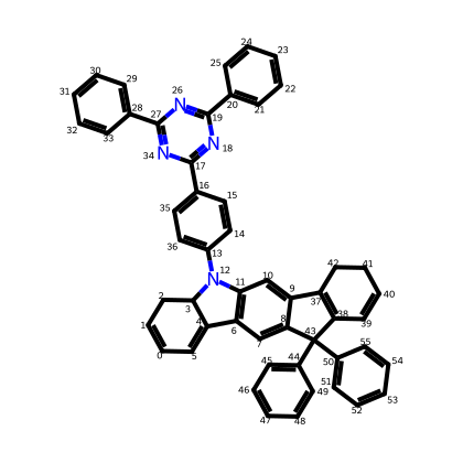 C1=CCC2C(=C1)c1cc3c(cc1N2c1ccc(-c2nc(-c4ccccc4)nc(-c4ccccc4)n2)cc1)C1=C(C=CCC1)C3(c1ccccc1)c1ccccc1